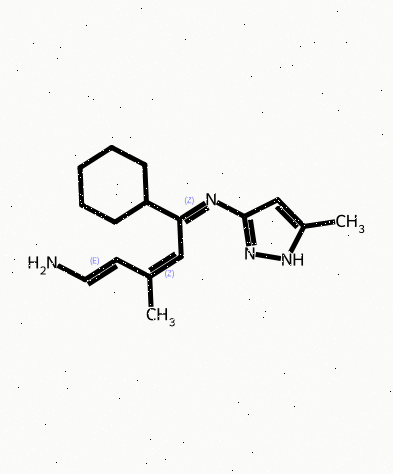 CC(=C/C(=N\c1cc(C)[nH]n1)C1CCCCC1)/C=C/N